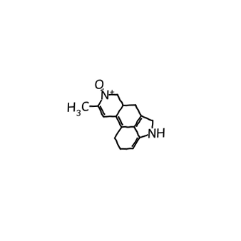 CC1=CC2=C3CCC=C4NCC(=C43)CC2C[N+]1=O